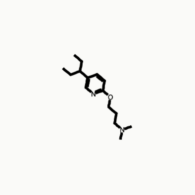 CCC(CC)c1ccc(OCCCN(C)C)nc1